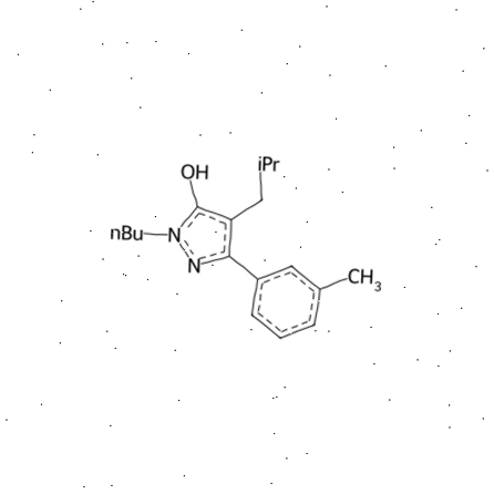 CCCCn1nc(-c2cccc(C)c2)c(CC(C)C)c1O